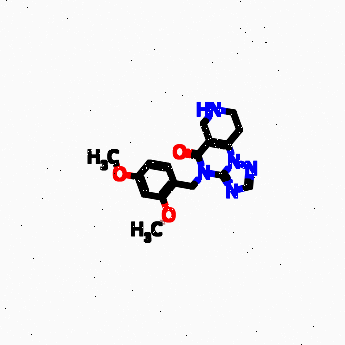 COc1ccc(Cn2c(=O)c3c(n4ncnc24)CCNC3)c(OC)c1